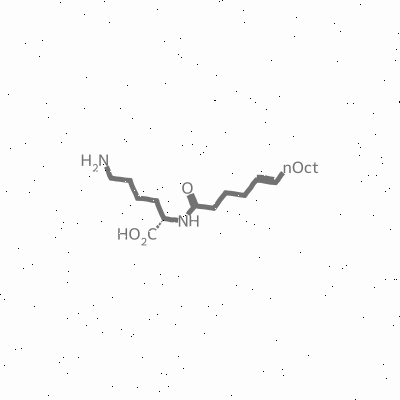 CCCCCCCCC=CCCCC(=O)N[C@@H](CCCCN)C(=O)O